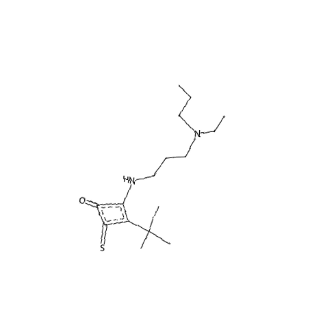 CCCN(CC)CCCNc1c(C(C)(C)C)c(=S)c1=O